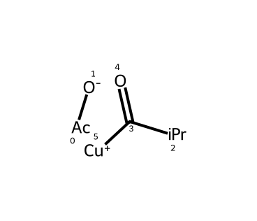 CC(=O)[O-].CC(C)[C](=O)[Cu+]